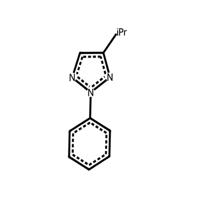 CC(C)c1cnn(-c2ccccc2)n1